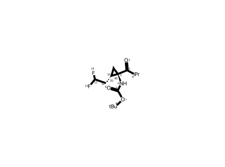 CC(C)C(=O)[C@@]1(NC(=O)OC(C)(C)C)C[C@H]1CC(F)F